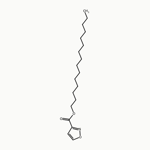 CCCCCCCCCCCCCCCOC(=O)c1ccon1